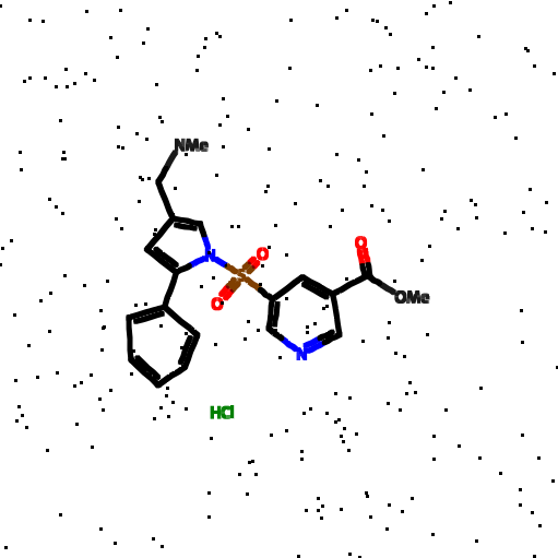 CNCc1cc(-c2ccccc2)n(S(=O)(=O)c2cncc(C(=O)OC)c2)c1.Cl